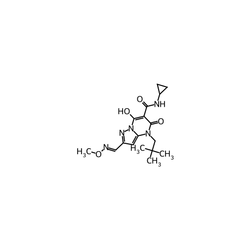 CON=Cc1cc2n(CC(C)(C)C)c(=O)c(C(=O)NC3CC3)c(O)n2n1